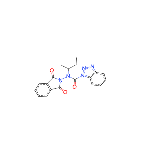 CCC(C)N(C(=O)n1nnc2ccccc21)N1C(=O)c2ccccc2C1=O